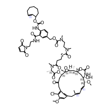 COc1cc2cc(c1Cl)CC(=O)C[C@H](OC(=O)[C@H](C)N(C)C(=O)CCSC(=O)N(C)CCN(C)C(=O)OCc1ccc(NC(=O)OC3/C=C/CCCCC3)c(C(=O)NCCN3C(=O)C=CC3=O)c1)[C@]1(C)O[C@H]1[C@H](C)[C@@H]1C[C@@](O)(NC(=O)O1)[C@H](OC)/C=C/C=C(\C)C2